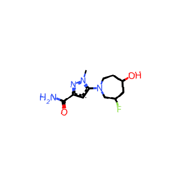 Cn1nc(C(N)=O)[c]c1N1CCC(O)CC(F)C1